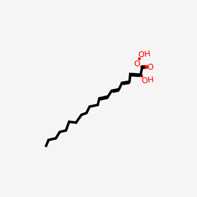 CCCCCCCCCCCC=CC=CC=CC=C(O)C(=O)OO